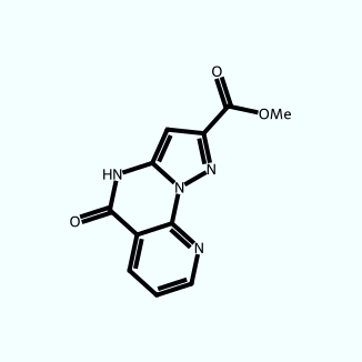 COC(=O)c1cc2[nH]c(=O)c3cccnc3n2n1